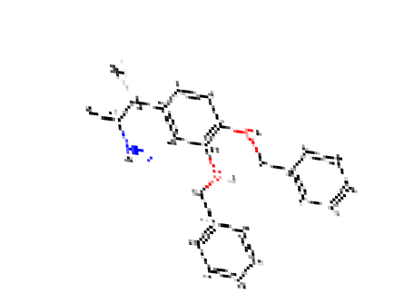 [2H][C@H](c1ccc(OCc2ccccc2)c(OCc2ccccc2)c1)C(C)N